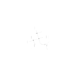 CN(C)CC(O)(C(F)(F)F)C(F)(F)F.[In]